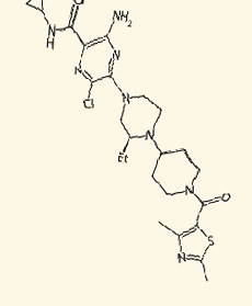 CC[C@H]1CN(c2nc(N)c(C(=O)NC3CC3)nc2Cl)CCN1C1CCN(C(=O)c2sc(C)nc2C)CC1